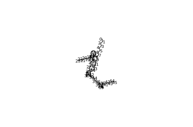 CCCCCCCCC(CCCCCC)C(=O)N(CCCCCC)CCCCCCN(C)CCCCCCN(C)CCCCCC